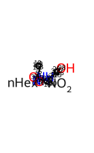 CCCCCCNC(=O)[C@H](CCc1ccccc1)NC(=O)c1ccc([N+](=O)[O-])c(C#Cc2ccc(O)cc2)c1